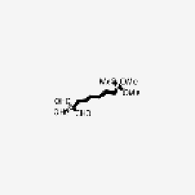 CO[Si](CCCCCC[Si](C=O)(C=O)C=O)(OC)OC